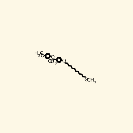 COCCCCCCCCCCCCOc1ccc(C(=O)Oc2ccc(OC)cc2C)cc1